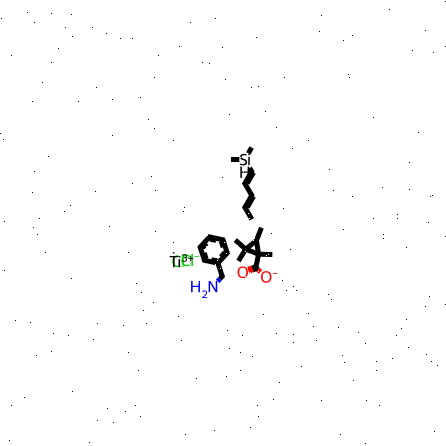 CC1C(C)(C)C1(C)C(=O)[O-].CC=CC=C[SiH](C)C.NCc1ccccc1.[Cl-].[Cl-].[Ti+3]